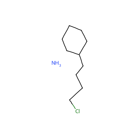 ClCCCCC1CCCCC1.N